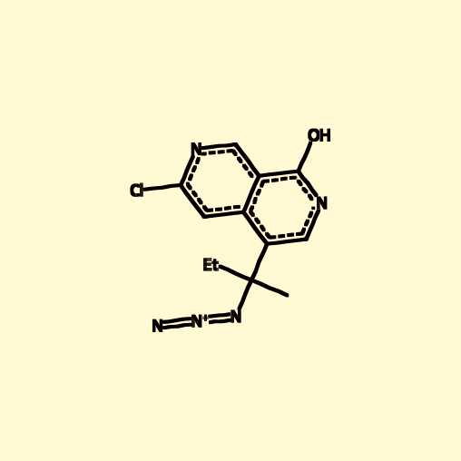 CCC(C)(N=[N+]=[N-])c1cnc(O)c2cnc(Cl)cc12